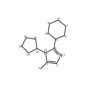 Cc1cnc(C2CCCCC2)n1C1CCCC1